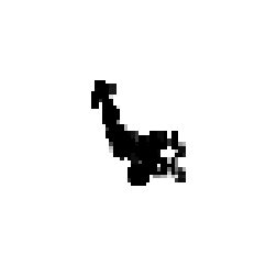 CN(c1ccccc1)c1nc(N)nc(-c2noc(N3CC(COCCC(F)(F)F)C3)n2)n1